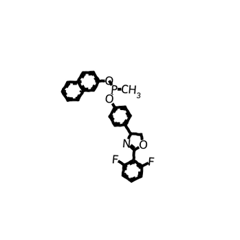 CP(Oc1ccc(C2COC(c3c(F)cccc3F)=N2)cc1)Oc1ccc2ccccc2c1